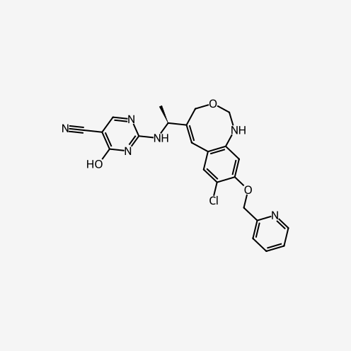 C[C@H](Nc1ncc(C#N)c(O)n1)/C1=C/c2cc(Cl)c(OCc3ccccn3)cc2NCOC1